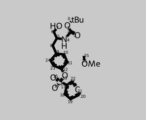 CC(C)(C)OC(=O)NC(CO)Cc1ccc(OS(=O)(=O)c2ccccc2)cc1.COC